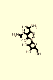 N=C(N)c1nnn(C2OC(CO)C(O)C2O)c(=O)c1NC(N)=S